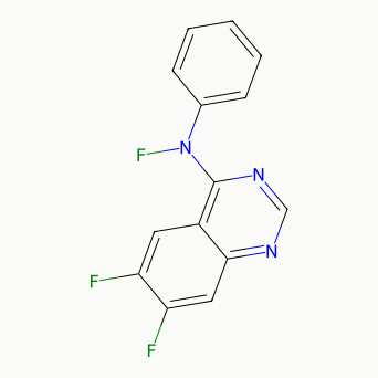 Fc1cc2ncnc(N(F)c3ccccc3)c2cc1F